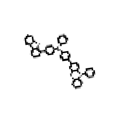 c1ccc(N(c2ccc(-c3ccc4c(c3)Sc3ccccc3N4c3ccccc3)cc2)c2ccc(-c3cccc4c3sc3ccccc34)cc2)cc1